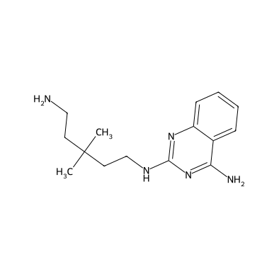 CC(C)(CCN)CCNc1nc(N)c2ccccc2n1